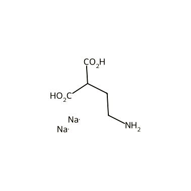 NCCC(C(=O)O)C(=O)O.[Na].[Na]